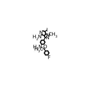 C[C@H](Oc1cc(-c2nn(C)c3c(I)cnc(N)c23)ccc1N)c1ccc(F)cc1